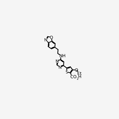 CCOc1cc(-c2cc(NCCc3ccc4ncoc4c3)ncn2)sc1C(=O)O